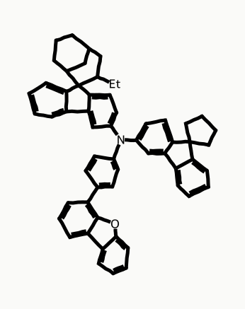 CCC1CC2CCCC(C2)C12c1ccccc1-c1cc(N(c3ccc(-c4cccc5c4oc4ccccc45)cc3)c3ccc4c(c3)-c3ccccc3C43CCCC3)ccc12